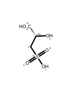 O=C(O)[C@H](O)CS(=O)(=O)O